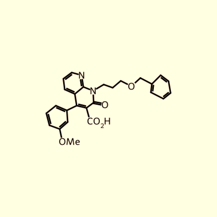 COc1cccc(-c2c(C(=O)O)c(=O)n(CCCOCc3ccccc3)c3ncccc23)c1